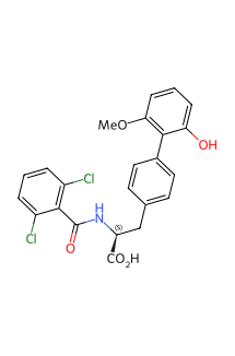 COc1cccc(O)c1-c1ccc(C[C@H](NC(=O)c2c(Cl)cccc2Cl)C(=O)O)cc1